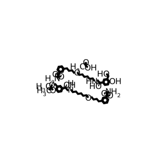 CC(=O)O.CC1(C)OCc2cc([C@@H](O)CNCCCCCCOCCCCc3cccc(S(N)(=O)=O)c3)ccc2O1.NS(=O)(=O)c1cccc(CCCCOCCCCCCNC[C@H](O)c2ccc(O)c(CO)c2)c1